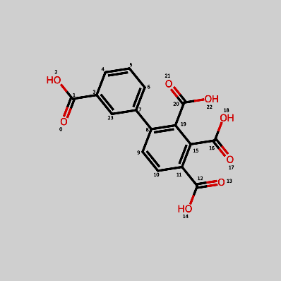 O=C(O)c1cccc(-c2ccc(C(=O)O)c(C(=O)O)c2C(=O)O)c1